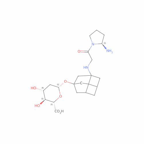 N[C@@H]1CCCN1C(=O)CNC12CC3CC4CC(O[C@H]5C[C@@H](O)[C@H](O)[C@@H](C(=O)O)O5)(C1)CC432